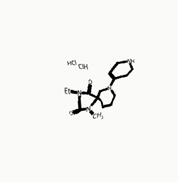 CCN1C(=O)N(C)C2(CCCN(C3CCNCC3)C2)C1=O.Cl.Cl